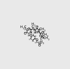 CCOC(=O)[C@H](Cc1ccc(OCC2CO2)cc1)NC(=O)[C@H](C)NC(=O)[C@H](C)NC(=O)OC(C)(C)C